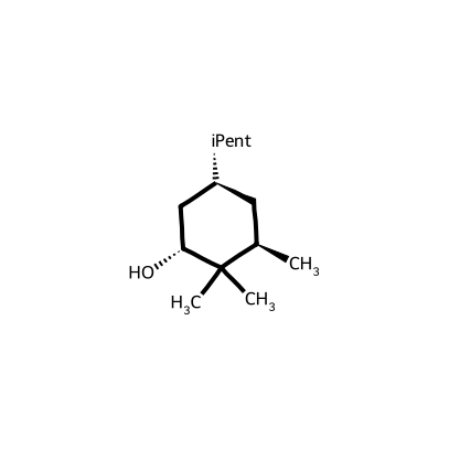 CCC[C@@H](C)[C@H]1C[C@@H](C)C(C)(C)[C@H](O)C1